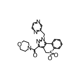 O=C(c1nn(Cc2cnccn2)c2c1CS(=O)(=O)c1ccccc1-2)N1CCOCC1